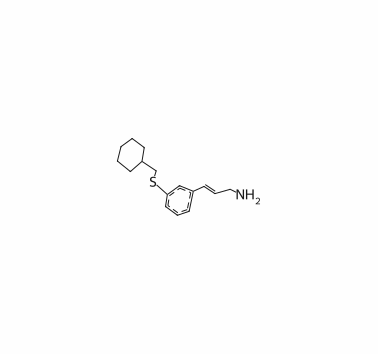 NCC=Cc1cccc(SCC2CCCCC2)c1